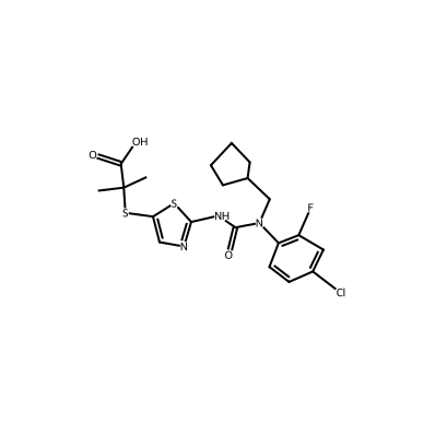 CC(C)(Sc1cnc(NC(=O)N(CC2CCCC2)c2ccc(Cl)cc2F)s1)C(=O)O